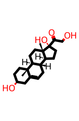 C[C@]12CC[C@H](O)CC1=CC[C@@H]1[C@@H]2CC[C@@]2(C)[C@H]1CC[C@]2(O)C(=O)CO